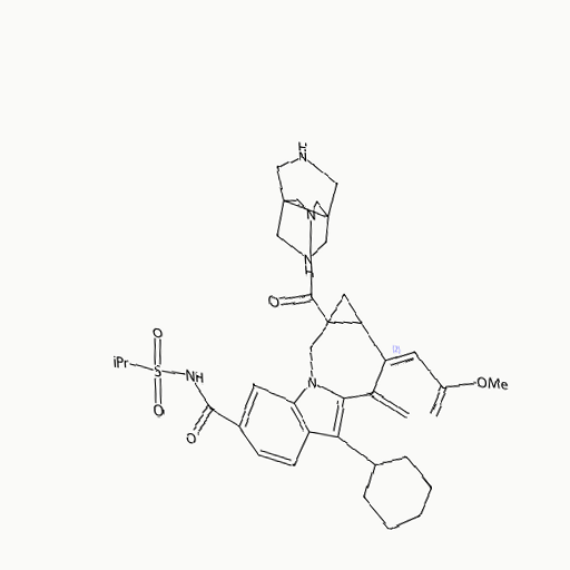 C=C(/C=C1\C(=C)c2c(C3CCCCC3)c3ccc(C(=O)NS(=O)(=O)C(C)C)cc3n2CC2(C(=O)N3CC45CNCC4(CNC5)C3)CC12)OC